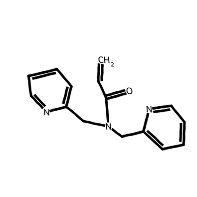 C=CC(=O)N(Cc1ccccn1)Cc1ccccn1